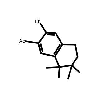 CCc1cc2c(cc1C(C)=O)C(C)(C)C(C)(C)CC2